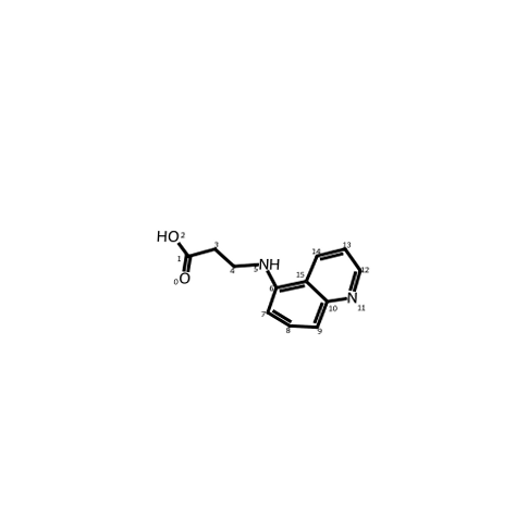 O=C(O)CCNc1cccc2ncccc12